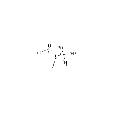 [3H]C([3H])([3H])B(I)PI